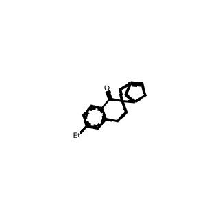 CCc1ccc2c(c1)CCC1(CC3=CCC1C3)C2=O